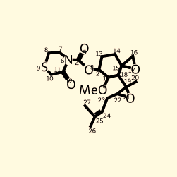 COC1C(OC(=O)N2CCSCC2=O)CCC2(CO2)C1C1(C)OC1CC=C(C)C